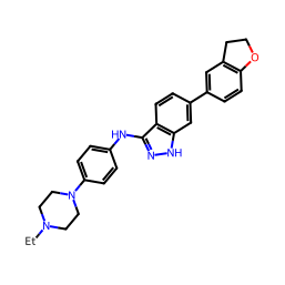 CCN1CCN(c2ccc(Nc3n[nH]c4cc(-c5ccc6c(c5)CCO6)ccc34)cc2)CC1